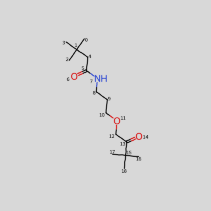 CC(C)(C)CC(=O)NCCCOCC(=O)C(C)(C)C